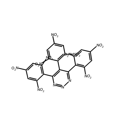 O=[N+]([O-])c1cc([N+](=O)[O-])c(-c2nnnc(-c3c([N+](=O)[O-])cc([N+](=O)[O-])cc3[N+](=O)[O-])c2-c2c([N+](=O)[O-])cc([N+](=O)[O-])cc2[N+](=O)[O-])c([N+](=O)[O-])c1